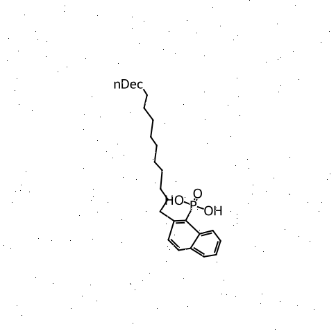 CCCCCCCCCCCCCCCCCCCCc1ccc2ccccc2c1P(=O)(O)O